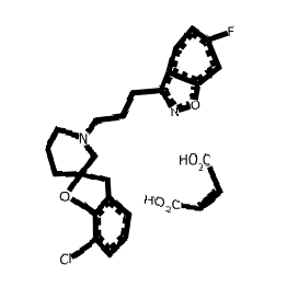 Fc1ccc2c(CCCN3CCCC4(Cc5cccc(Cl)c5O4)C3)noc2c1.O=C(O)/C=C\C(=O)O